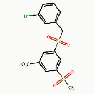 O=C(O)c1cc(S(=O)(=O)Cc2cccc(Br)c2)cc(S(=O)(=O)C(F)(F)F)c1